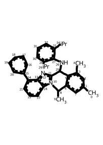 Cc1cc(C)c2c(c1)C(C)n1c(nc3c(-c4ccccc4)cccc31)C2Nc1c(C(C)C)cccc1C(C)C